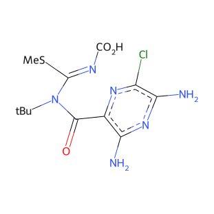 CSC(=NC(=O)O)N(C(=O)c1nc(Cl)c(N)nc1N)C(C)(C)C